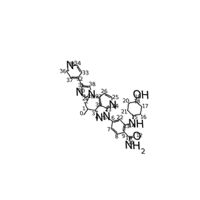 CC(C)c1nn(-c2ccc(C(N)=O)c(NC3CCC(O)CC3)c2)c2nccc(-n3cnc(-c4ccncc4)c3)c12